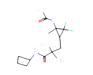 CC(C)(C)C(=O)NC1(C)C(CC(C)(C)C(=O)NC2CCC2)C1(F)F